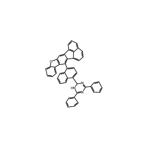 c1ccc(C2=NC(c3ccc(-c4c5c(cc6oc7ccccc7c46)-c4cccc6cccc-5c46)c4ccccc34)NC(c3ccccc3)=N2)cc1